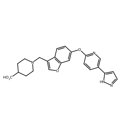 O=C(O)C1CCN(Cc2coc3cc(Oc4ccc(-c5ccn[nH]5)cn4)ccc23)CC1